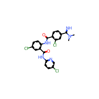 CN(C)C(=N)c1ccc(C(=O)Nc2ccc(Cl)cc2C(=O)Nc2ccc(Cl)cn2)c(Cl)c1